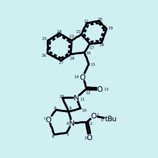 CC(C)(C)OC(=O)N1CCOCC12CN(C(=O)OCC1c3ccccc3-c3ccccc31)C2